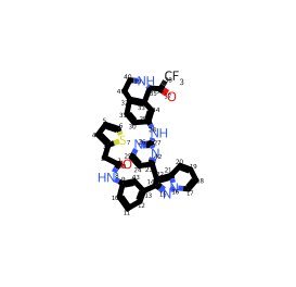 O=C(Cc1cccs1)Nc1cccc(-c2nn3ccccc3c2-c2ccnc(Nc3ccc4c(c3)C(C(=O)C(F)(F)F)NCC4)n2)c1